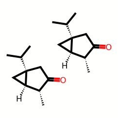 CC(C)[C@]12CC(=O)[C@H](C)[C@H]1C2.CC(C)[C@]12CC(=O)[C@H](C)[C@H]1C2